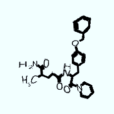 CC(C[CH]C(=O)NC(Cc1ccc(OCc2ccccc2)cc1)C(=O)N1CC=CCC1)C(N)=O